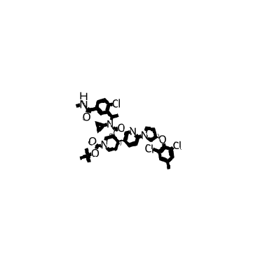 CNC(=O)c1ccc(Cl)c(C(C)N(C(=O)[C@H]2CN(C(=O)OC(C)(C)C)CC[C@@H]2c2ccc(N3CC[C@H](Oc4c(Cl)cc(C)cc4Cl)C3)nc2)C2CC2)c1